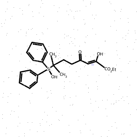 CCOC(=O)/C(O)=C/C(=O)CCC(C)(C)[Si](O)(c1ccccc1)c1ccccc1